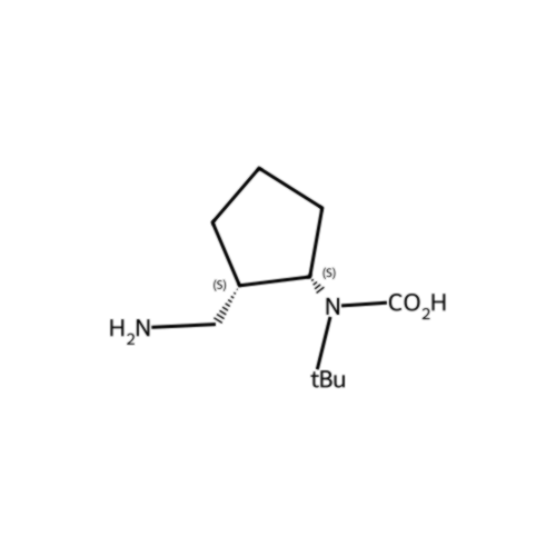 CC(C)(C)N(C(=O)O)[C@H]1CCC[C@H]1CN